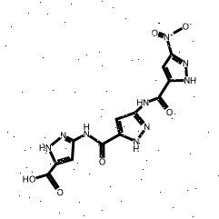 O=C(O)c1cc(NC(=O)c2cc(NC(=O)c3cc([N+](=O)[O-])n[nH]3)n[nH]2)n[nH]1